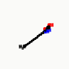 CCCCCCCCCCCCCCCCCCCCCNC(=O)Nc1ccc(O)cc1